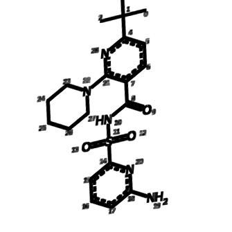 CC(C)(C)c1ccc(C(=O)NS(=O)(=O)c2cccc(N)n2)c(N2CCCCC2)n1